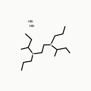 Br.Br.CCCP(CCP(CCC)C(C)CC)C(C)CC